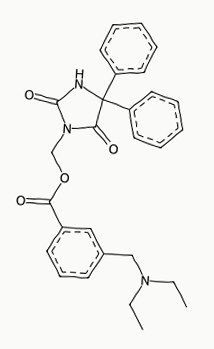 CCN(CC)Cc1cccc(C(=O)OCN2C(=O)NC(c3ccccc3)(c3ccccc3)C2=O)c1